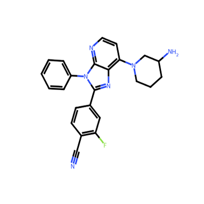 N#Cc1ccc(-c2nc3c(N4CCCC(N)C4)ccnc3n2-c2ccccc2)cc1F